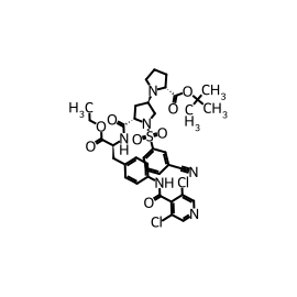 CCOC(=O)[C@H](Cc1ccc(NC(=O)c2c(Cl)cncc2Cl)cc1)NC(=O)[C@@H]1C[C@@H](N2CCC[C@@H]2C(=O)OC(C)(C)C)CN1S(=O)(=O)c1cccc(C#N)c1